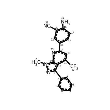 Cn1nc(-c2ccccc2)c2c(C(F)(F)F)cc(-c3ccc(N)c(C#N)c3)nc21